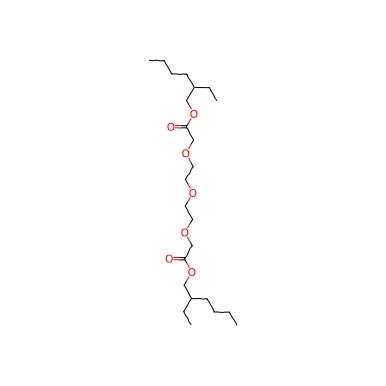 CCCCC(CC)COC(=O)COCCOCCOCC(=O)OCC(CC)CCCC